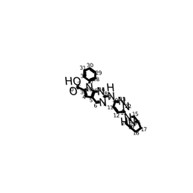 O=C(O)c1cc2cnc(Nc3ccc(N4CC5CCC(C4)N5)nn3)nc2n1-c1ccccc1